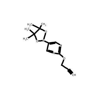 C#CCOc1ncc(B2OC(C)(C)C(C)(C)O2)cn1